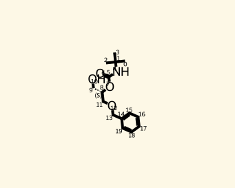 CC(C)(C)NC(=O)O[C@@H](CO)COCc1ccccc1